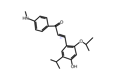 CNc1ccc(C(=O)/C=C/c2cc(C(C)C)c(O)cc2OC(C)C)cc1